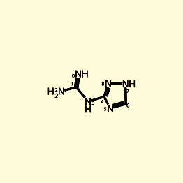 N=C(N)Nc1nc[nH]n1